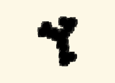 CC1(C)c2cc(-c3ccc4c5ccccc5n(-c5ccccc5)c4c3)ccc2-c2ccc(N(c3ccc(-c4ccc5c6ccccc6n(-c6ccccc6)c5c4)cc3)c3ccc4c(c3)C(C)(C)c3cc(-n5c6ccccc6c6ccccc65)ccc3-4)cc21